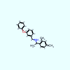 Cc1ccc(C(C)NCc2cccc(Oc3ccccc3)c2)c(C)c1